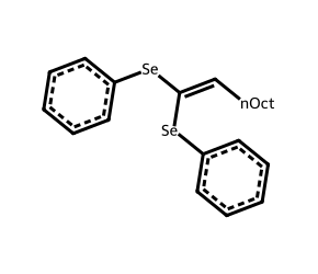 CCCCCCCCC=C([Se]c1ccccc1)[Se]c1ccccc1